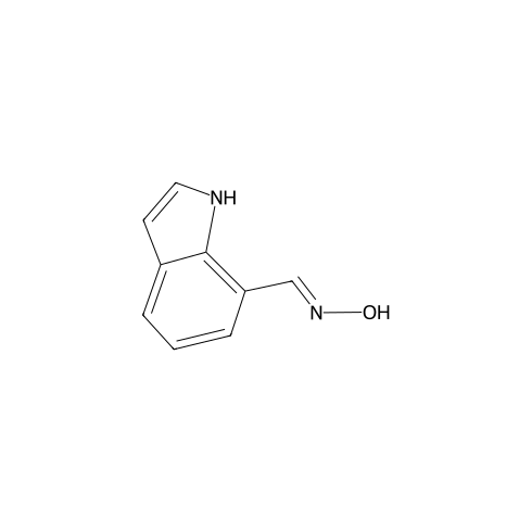 ON=Cc1cccc2cc[nH]c12